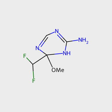 COC1(C(F)F)N=CN=C(N)N1